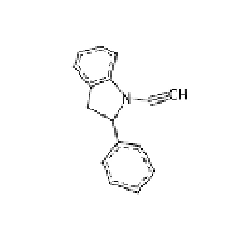 C#CN1c2ccccc2CC1c1ccccc1